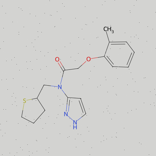 Cc1ccccc1OCC(=O)N(CC1CCCS1)c1cc[nH]n1